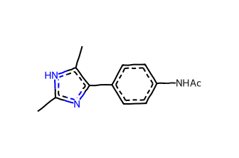 CC(=O)Nc1ccc(-c2nc(C)[nH]c2C)cc1